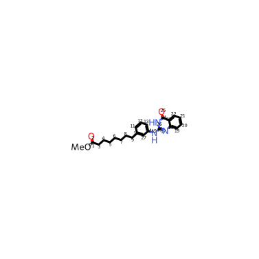 COC(=O)CCCCCCCc1cccc(Nc2nc3ccccc3c(=O)[nH]2)c1